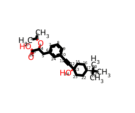 CC(C)OC(Cc1cccc(C#C[C@]2(O)CC[C@@H](C(C)(C)C)CC2)c1)C(=O)O